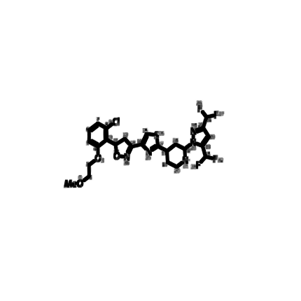 COCCOc1cccc(Cl)c1C1CC(c2csc(C3CC[N]C(n4nc(C(F)F)cc4C(F)F)C3)n2)=NO1